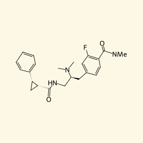 CNC(=O)c1ccc(C[C@@H](CNC(=O)[C@@H]2C[C@@H]2c2ccccc2)N(C)C)cc1F